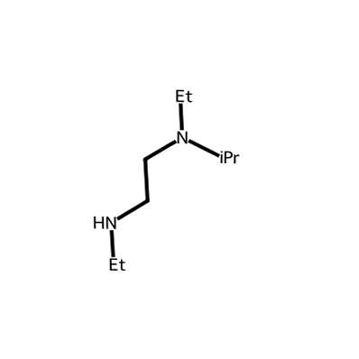 CCNCCN(CC)C(C)C